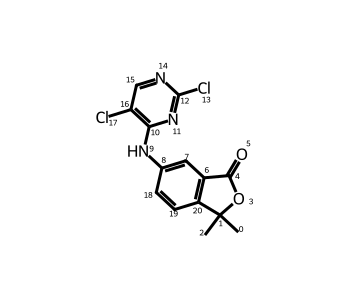 CC1(C)OC(=O)c2cc(Nc3nc(Cl)ncc3Cl)ccc21